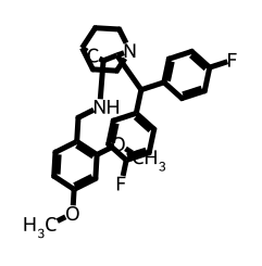 COc1ccc(CNC2CC3CCN(CC3)C2C(c2ccc(F)cc2)c2ccc(F)cc2)c(OC)c1